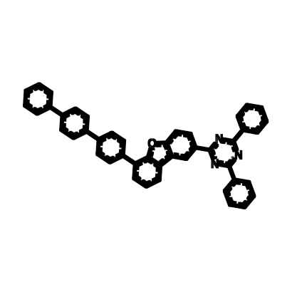 c1ccc(-c2ccc(-c3ccc(-c4cccc5c4oc4ccc(-c6nc(-c7ccccc7)nc(-c7ccccc7)n6)cc45)cc3)cc2)cc1